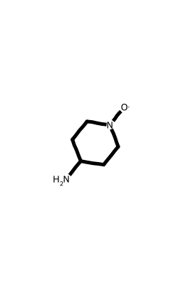 NC1CCN([O])CC1